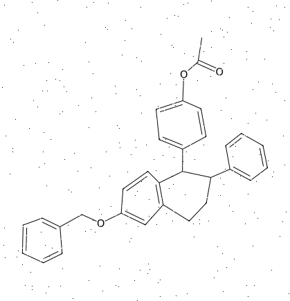 CC(=O)Oc1ccc(C2c3ccc(OCc4ccccc4)cc3CCC2c2ccccc2)cc1